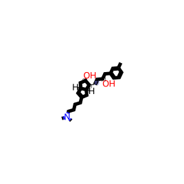 Cc1cccc(C[C@@H](O)/C=C/[C@@H]2[C@H]3CC(CCCCN(C)C)=C[C@H]3C[C@H]2O)c1